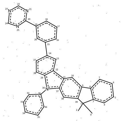 CC1(C)c2ccccc2-c2cc3c4cc(-c5cccc(-c6ncncn6)c5)ccc4n(-c4ccccc4)c3cc21